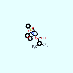 O=S(=O)(c1ccccc1)[C@@H]1C[C@@]2(c3ccccc3)[C@H](O[C@@H](CO)c3cc(C(F)(F)F)cc(C(F)(F)F)c3)CC[C@@H]1N2Cc1ccccc1